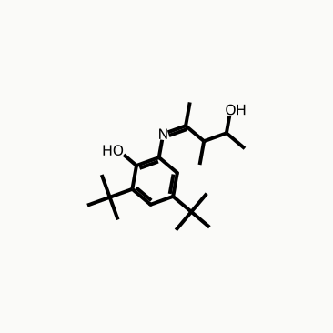 CC(=Nc1cc(C(C)(C)C)cc(C(C)(C)C)c1O)C(C)C(C)O